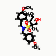 C=CC[C@](C)(CO)S(=O)(=O)N(Cc1ccc(OC)cc1)Cc1ccc(OC)cc1